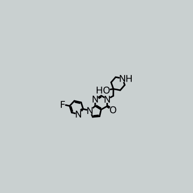 O=c1c2ccn(-c3ccc(F)cn3)c2ncn1CC1(O)CCNCC1